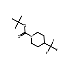 CC(C)(C)OC(=O)N1CCC(C(F)(F)F)CC1